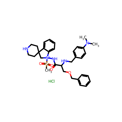 CN(C)c1ccc(CNC(COCc2ccccc2)C(=O)N[N+]2(S(C)(=O)=O)CC3(CCNCC3)c3ccccc32)cc1.Cl